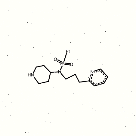 CCS(=O)(=O)N(CCCc1ccccn1)C1CCNCC1